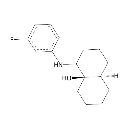 O[C@]12CCCC[C@@H]1CCCC2Nc1cccc(F)c1